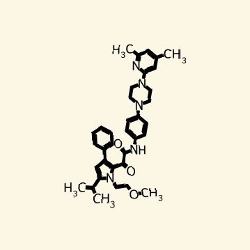 COCCn1c(C(C)C)cc(-c2ccccc2)c1C(=O)C(=O)Nc1ccc(N2CCN(c3cc(C)cc(C)n3)CC2)cc1